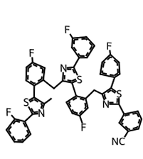 Cc1nc(-c2ccccc2F)sc1-c1ccc(F)cc1Cc1nc(-c2cccc(F)c2)sc1-c1ccc(F)cc1Cc1nc(-c2cccc(C#N)c2)sc1-c1ccc(F)cc1